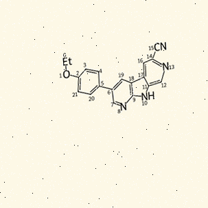 CCOc1ccc(-c2cnc3[nH]c4cnc(C#N)cc4c3c2)cc1